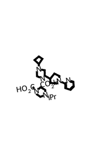 CC(C)N1CCN(C(=O)O)CC1.O=C(O)N1CCN(C2CCC2)CC1C1CCN(c2ccccn2)CC1